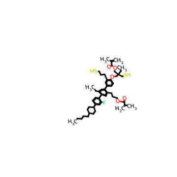 C=C(C)C(=O)OCCCc1cc(-c2ccc(C3CCC(CCCCC)CC3)cc2F)c(CC)cc1-c1ccc(OCC(CC)(CS)COC(=O)C(=C)C)c(CCCS)c1